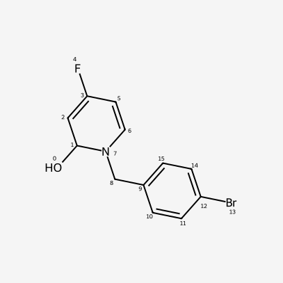 OC1C=C(F)C=CN1Cc1ccc(Br)cc1